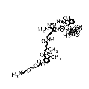 CSSC(C)c1ccc(OC(=O)COCCOCCN)cc1C(=O)OCCCCC(=O)NCC#Cc1cn([C@H]2CC(OC(=O)c3ccccc3C(C)N=[N+]=[N-])[C@@H](COP(=O)(O)OP(=O)(O)OP(=O)(O)O)O2)c2ncnc(N)c12